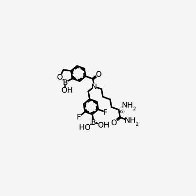 NC(=O)[C@@H](N)CCCCN(Cc1cc(F)c(B(O)O)c(F)c1)C(=O)c1ccc2c(c1)B(O)OC2